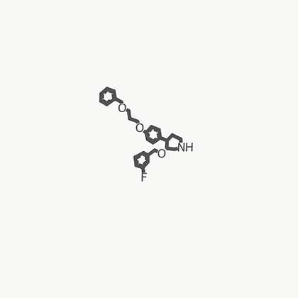 Fc1cccc(COC2CNCCC2c2ccc(OCCCOCc3ccccc3)cc2)c1